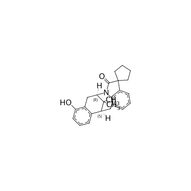 CC1(C)[C@H]2CCN(C(=O)C3(c4ccccc4)CCCC3)[C@@H]1Cc1c(O)cccc12